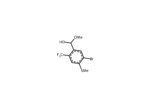 COC(O)c1cc(Br)c(SC)cc1C(F)(F)F